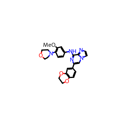 COc1cc(Nc2nc(-c3ccc4c(c3)OCCO4)cn3ccnc23)ccc1N1CCOCC1